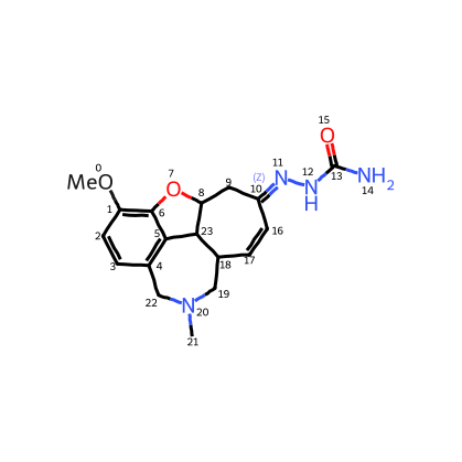 COc1ccc2c3c1OC1C/C(=N/NC(N)=O)C=CC(CN(C)C2)C31